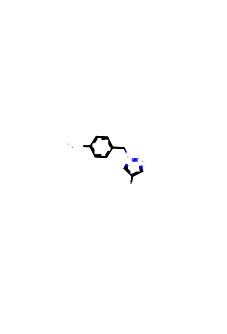 CCOC(=O)c1cnn(Cc2ccc(C#N)cc2)c1